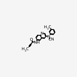 CC#CC(=O)Nc1ccc2ncc(N(C#N)c3cccc(C)c3)cc2c1